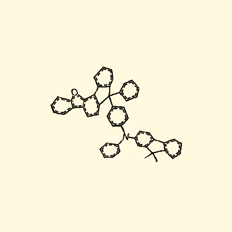 CC1(C)c2ccccc2-c2ccc(N(c3ccccc3)c3ccc(C4(c5ccccc5)c5ccccc5-c5c4ccc4c5oc5ccccc54)cc3)cc21